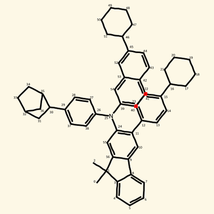 CC1(C)c2ccccc2-c2cc(-c3ccc(C4CCCCC4)cc3)c(N(c3ccc(C4CC5CCC4C5)cc3)c3ccc4ccc(C5CCCCC5)cc4c3)cc21